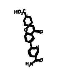 NC(=O)c1ccc(-c2ccc3c(c2)C(=O)CC2(CCN(C(=O)O)CC2)O3)nc1